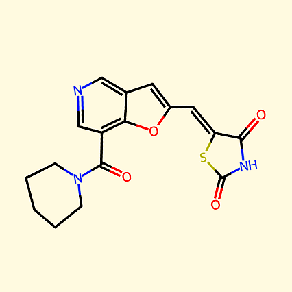 O=C1NC(=O)C(=Cc2cc3cncc(C(=O)N4CCCCC4)c3o2)S1